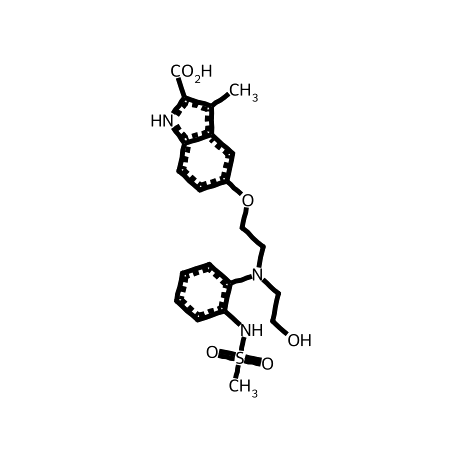 Cc1c(C(=O)O)[nH]c2ccc(OCCN(CCO)c3ccccc3NS(C)(=O)=O)cc12